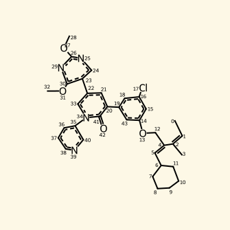 C/C=C(C)\C(=C/C1CCCCC1)COc1cc(Cl)cc(-c2cc(-c3cnc(OC)nc3OC)cn(-c3cccnc3)c2=O)c1